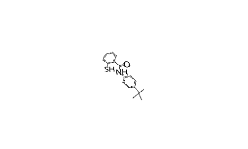 CC(C)(C)c1ccc(NC(=O)c2ccccc2S)cc1